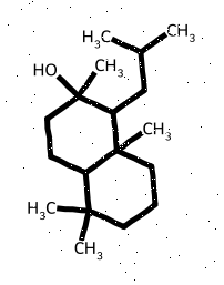 CC(C)CC1C(C)(O)CCC2C(C)(C)CCCC21C